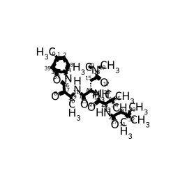 Cc1ccc2nc(C(=O)C(C)NC(=O)[C@H](CC(=O)N(C)C)NC(=O)[C@@H](NC(=O)CC(C)(C)C)C(C)(C)C)oc2c1